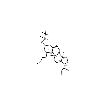 COCOC1CC(O[Si](C)(C)C(C)(C)C)CC2=CC=C3[C@@H]4CC[C@H](C(C)C=O)[C@@]4(C)CC[C@@H]3[C@]21C